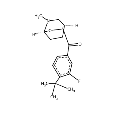 CN1C[C@H]2CC[C@@H]1CN2C(=O)c1ccc(C(C)(C)C)c(F)c1